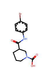 O=C(Nc1ccc(Br)cc1)C1CCCN(C(=O)O)C1